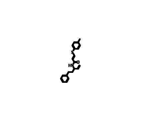 C=CC(CCc1ccccc1)NC(=O)/C=C/Sc1ccc(C)cc1